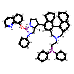 c1ccc(N2C[C@@H]3C(c4cc5c(c6ccccc46)-c4c(ccc6ccccc46)CN(CCP(c4ccccc4)c4ccccc4)C5)CCN3P2Oc2cccc3cccnc23)cc1